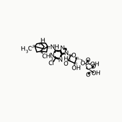 C[C@]12C[C@@H]3C[C@](C)(C1)C[C@@](Nc1nc(Cl)nc4c1ncn4[C@@H]1O[C@H](COP(=O)(O)CS(=O)(=O)O)[C@H](O)[C@@H]1O)(C3)C2